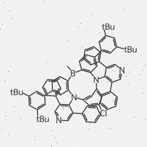 CB1c2ccc(-c3cc(C(C)(C)C)cc(C(C)(C)C)c3)cc2N(c2c(-c3ccccc3)cncc2-c2ccccc2)c2cc(Cl)cc(c2)N(c2c(-c3ccccc3)cncc2-c2ccccc2)c2cc(-c3cc(C(C)(C)C)cc(C(C)(C)C)c3)ccc21